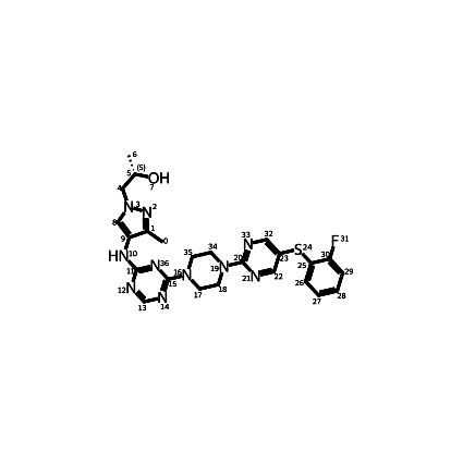 Cc1nn(C[C@H](C)O)cc1Nc1ncnc(N2CCN(c3ncc(Sc4ccccc4F)cn3)CC2)n1